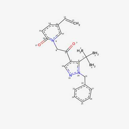 BC(B)(B)c1c(C(=O)Cn2cc(C=C)ccc2=O)cnn1Cc1ccccc1